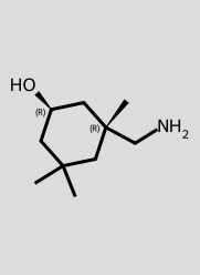 CC1(C)C[C@@H](O)C[C@](C)(CN)C1